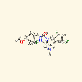 CC(C)Oc1ccc(CNC(=O)N(Cc2ccc(F)cc2F)C2CCN(C)CC2)c(F)c1